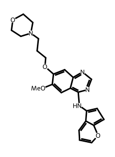 COc1cc2c(Nc3ccc4occcc3-4)ncnc2cc1OCCCN1CCOCC1